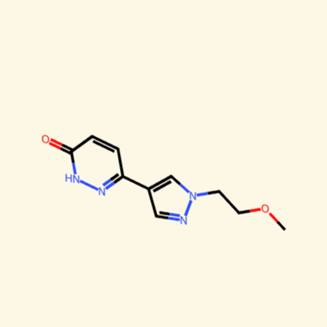 COCCn1cc(-c2ccc(=O)[nH]n2)cn1